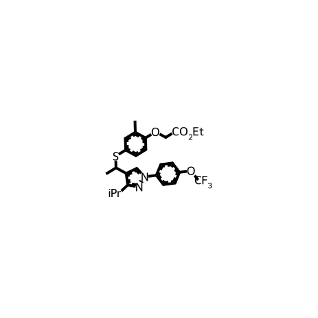 CCOC(=O)COc1ccc(SC(C)c2cn(-c3ccc(OC(F)(F)F)cc3)nc2C(C)C)cc1C